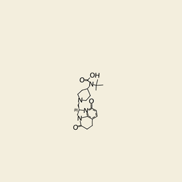 CC(C)(C)N(C(=O)O)C1CCN(C[C@@H]2CN3C(=O)CCc4ccc(=O)n2c43)CC1